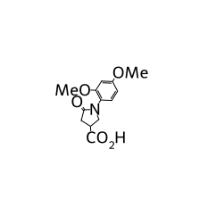 COc1ccc(N2CC(C(=O)O)CC2=O)c(OC)c1